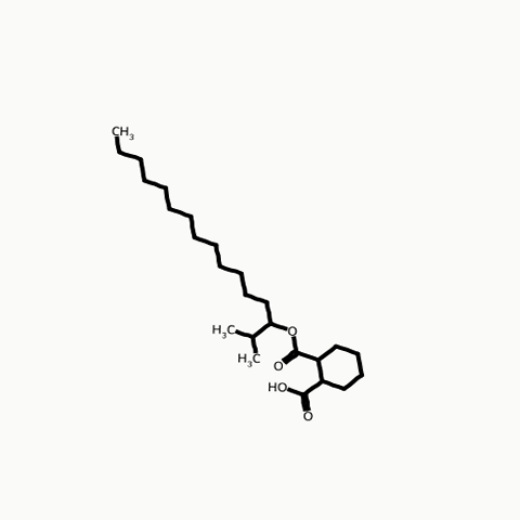 CCCCCCCCCCCCCC(OC(=O)C1CCCCC1C(=O)O)C(C)C